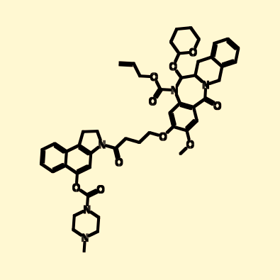 C=CCOC(=O)N1c2cc(OCCCC(=O)N3CCc4c3cc(OC(=O)N3CCN(C)CC3)c3ccccc43)c(OC)cc2C(=O)N2Cc3ccccc3CC2C1OC1CCCCO1